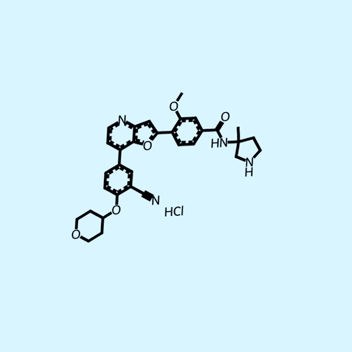 COc1cc(C(=O)NC2(C)CCNC2)ccc1-c1cc2nccc(-c3ccc(OC4CCOCC4)c(C#N)c3)c2o1.Cl